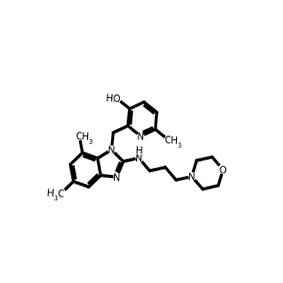 Cc1cc(C)c2c(c1)nc(NCCCN1CCOCC1)n2Cc1nc(C)ccc1O